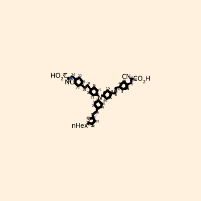 [C-]#[N+]/C(=C\c1ccc(/C=C/c2ccc(N(c3ccc(/C=C/c4ccc(/C=C(\[N+]#[C-])C(=O)O)cc4)cc3)c3ccc(/C=C/c4ccc(CCCCCC)s4)cc3)cc2)cc1)C(=O)O